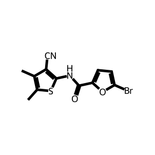 Cc1sc(NC(=O)c2ccc(Br)o2)c(C#N)c1C